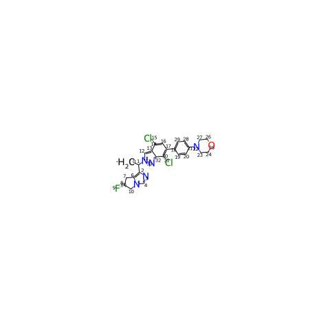 [CH2]C(c1ncn2c1C[C@@H](F)C2)n1cc2c(Cl)cc(-c3ccc(N4CCOCC4)cc3)c(Cl)c2n1